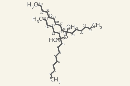 CCCCCCCCCC(O)(CCCCCC)OC(O)(CCCCCC)CCCCCCCCC